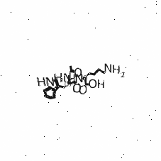 CC(=O)N[C@@H](Cc1c[nH]c2ccccc12)C(=O)N[C@@H](CCCCN)C(=O)O